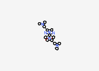 N#Cc1c(-c2ccccc2)c(-n2c3ccccc3c3cc(-c4ccc5c(c4)c4ccccc4n5-c4ccccc4)ccc32)c(-c2ccccc2)c(C#N)c1-n1c2ccccc2c2cc(-c3ccc4c(c3)c3ccccc3n4-c3ccccc3)ccc21